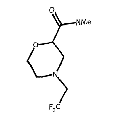 CNC(=O)C1CN(CC(F)(F)F)CCO1